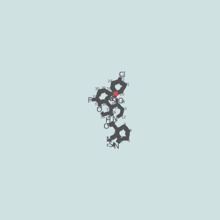 O=C(c1cccc2nsnc12)N1CCC[C@]2(S(=O)(=O)c3ccc(Cl)cc3)c3c(F)ccc(F)c3OC[C@H]12